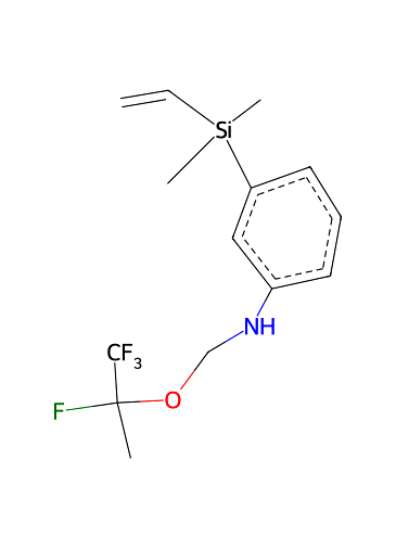 C=C[Si](C)(C)c1cccc(NCOC(C)(F)C(F)(F)F)c1